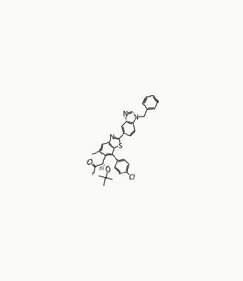 CC(=O)[C@@H](OC(C)(C)C)c1c(C)cc2nc(-c3ccc4c(c3)ncn4Cc3ccccc3)sc2c1-c1ccc(Cl)cc1